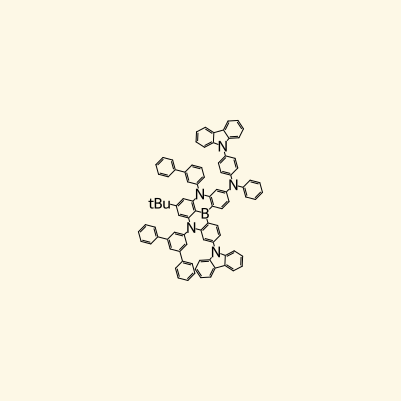 CC(C)(C)c1cc2c3c(c1)N(c1cc(-c4ccccc4)cc(-c4ccccc4)c1)c1cc(-n4c5ccccc5c5ccccc54)ccc1B3c1ccc(N(c3ccccc3)c3ccc(-n4c5ccccc5c5ccccc54)cc3)cc1N2c1cccc(-c2ccccc2)c1